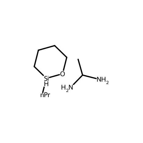 CC(N)N.CCC[SiH]1CCCCO1